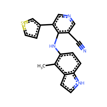 Cc1c(Nc2c(C#N)cncc2-c2ccsc2)ccc2[nH]ccc12